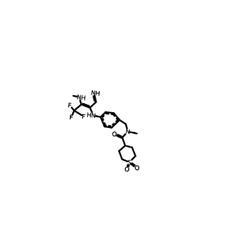 CN/C(=C(\C=N)Nc1ccc(CN(C)C(=O)C2CCS(=O)(=O)CC2)cc1)C(F)(F)F